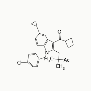 CC(=O)C(C)(C)Cc1c(C(=O)C2CCC2)c2cc(C3CC3)ccc2n1Cc1ccc(Cl)cc1